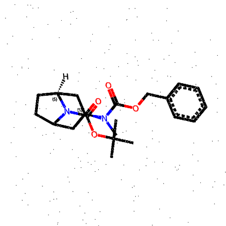 CN(C(=O)OCc1ccccc1)[C@H]1CC2CC[C@@H](C1)N2C(=O)OC(C)(C)C